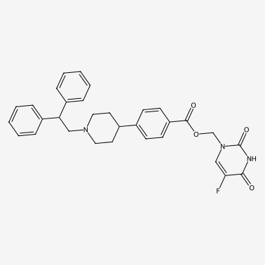 O=C(OCn1cc(F)c(=O)[nH]c1=O)c1ccc(C2CCN(CC(c3ccccc3)c3ccccc3)CC2)cc1